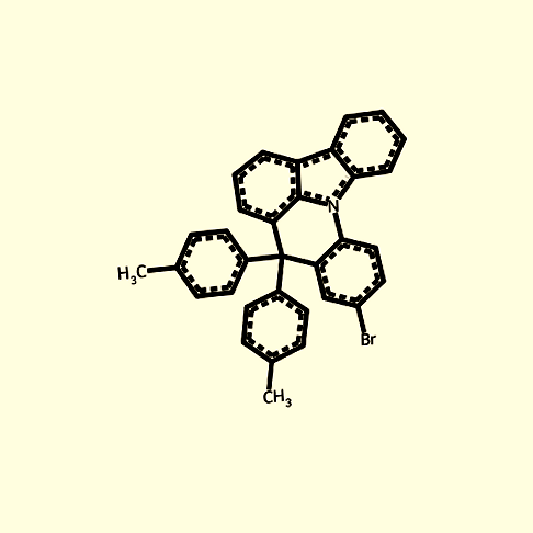 Cc1ccc(C2(c3ccc(C)cc3)c3cc(Br)ccc3-n3c4ccccc4c4cccc2c43)cc1